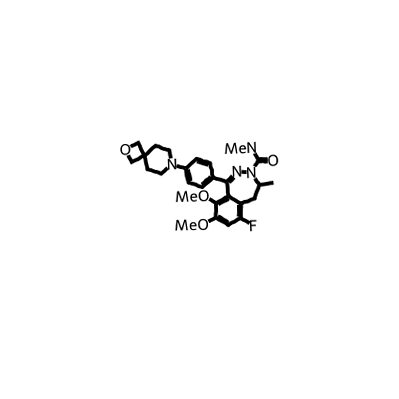 CNC(=O)N1N=C(c2ccc(N3CCC4(CC3)COC4)cc2)c2c(c(F)cc(OC)c2OC)CC1C